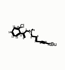 C=C(CN(C)C/C=C/C#CC(C)(C)C)c1ccccc1Cl